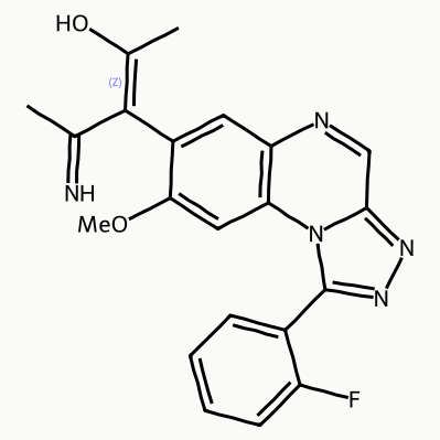 COc1cc2c(cc1/C(C(C)=N)=C(\C)O)ncc1nnc(-c3ccccc3F)n12